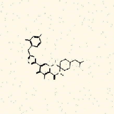 CCN1C(=O)c2c(O)c(=O)c(-c3nnc(Cc4ccc(F)cc4F)s3)cn2N(C)C12CCC(CC(O)OC)CC2